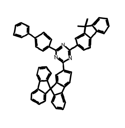 CC1(C)c2ccccc2-c2ccc(-c3nc(-c4ccc(-c5ccccc5)cc4)nc(-c4ccc5c(c4)C4(c6ccccc6-c6ccccc64)c4ccccc4-5)n3)cc21